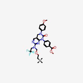 COC(=O)c1ccc(N2C(=O)N(c3ccc(OC)cc3)Cc3cnc(N(COCC[Si](C)(C)C)CC(F)(F)F)nc32)cc1